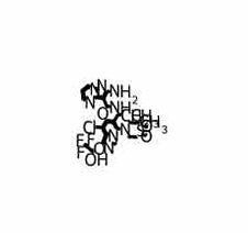 CC(NC(=O)c1c(N)nn2cccnc12)c1cc(Cl)c2cncn2c1N1CCS(=O)(=O)C(C)(C)C1.O=C(O)C(F)(F)F